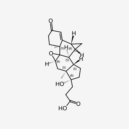 C[C@]12CCC(=O)C=C1[C@@H]1C[C@@H]1[C@H]1[C@@H]3CC[C@@](O)(CCC(=O)O)[C@@]3(C)C[C@H]3OC132